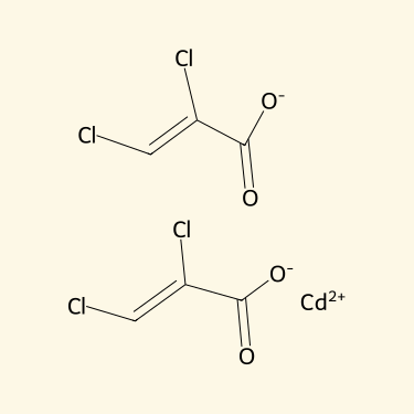 O=C([O-])/C(Cl)=C/Cl.O=C([O-])/C(Cl)=C/Cl.[Cd+2]